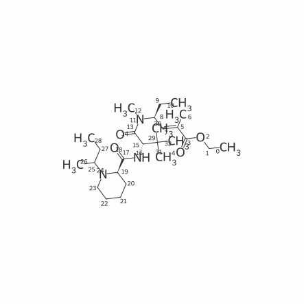 CCOC(=O)/C(C)=C/[C@H](CC)N(C)C(=O)[C@@H](NC(=O)[C@H]1CCCCN1C(C)CC)C(C)(C)C